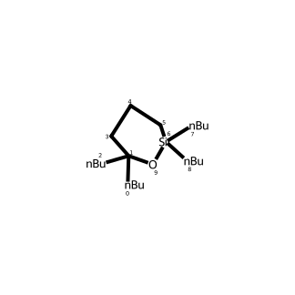 CCCCC1(CCCC)CCC[Si](CCCC)(CCCC)O1